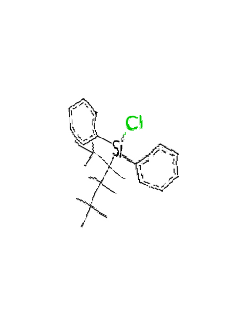 CC(C)(C)C(C)(C)C(C)(C(C)(C)C)[Si](Cl)(c1ccccc1)c1ccccc1